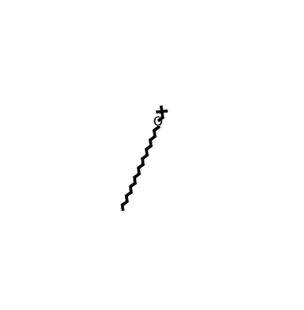 CCCCCCCCCCCCCCCCCCCOCC(C)(C)C